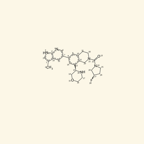 Cc1c[nH]c2ncc(-c3cc4c(c([C@@H]5COCCN5)c3)CN(C(=O)N3CC[C@@H](F)C3)CC4)cc12